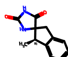 C[C@@H]1c2ccccc2CC12NC(=O)NC2=O